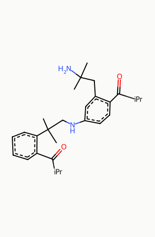 CC(C)C(=O)c1ccc(NCC(C)(C)c2ccccc2C(=O)C(C)C)cc1CC(C)(C)N